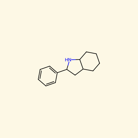 c1ccc(C2CC3CCCCC3N2)cc1